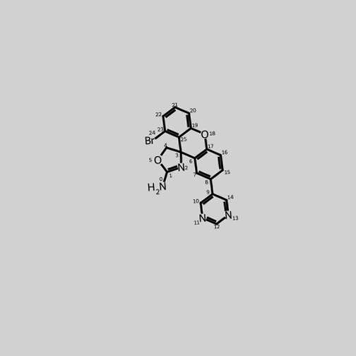 NC1=NC2(CO1)c1cc(-c3cncnc3)ccc1Oc1cccc(Br)c12